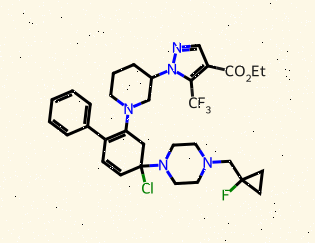 CCOC(=O)c1cnn(C2CCCN(C3=C(c4ccccc4)C=CC(Cl)(N4CCN(CC5(F)CC5)CC4)C3)C2)c1C(F)(F)F